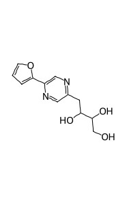 OCC(O)C(O)Cc1cnc(-c2ccco2)cn1